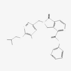 O=C(Oc1ccccc1)c1nccc2c1CN(Cc1cnc(OCC(F)F)c(Cl)c1)C2=O